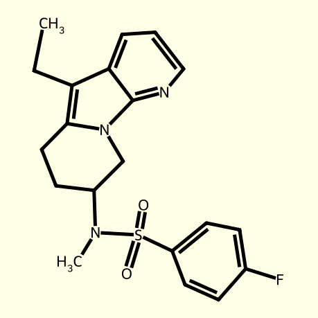 CCc1c2n(c3ncccc13)CC(N(C)S(=O)(=O)c1ccc(F)cc1)CC2